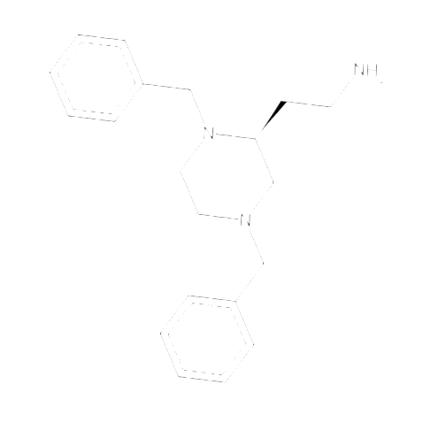 NCC[C@H]1CN(Cc2ccccc2)CCN1Cc1ccccc1